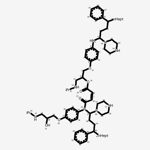 CCCCCCCC(CCC(Nc1ccc(OCC(CNC(C)C)OC(=O)/C=C\C(=O)N(c2ccc(OCC(O)CNC(C)C)cc2)C(CCC(CCCCCCC)c2ccccc2)N2CCNCC2)cc1)N1CCNCC1)c1ccccc1